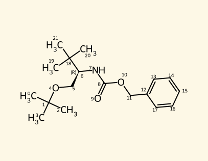 CC(C)(C)OC[C@H](NC(=O)OCc1ccccc1)C(C)(C)C